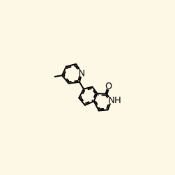 Cc1ccnc(-c2ccc3cc[nH]c(=O)c3c2)c1